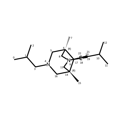 CC(C)CN1C[C@]2(C)CN(C(C)C)C[C@@](C)(C1)C21CCCCC1